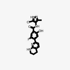 Cc1n[nH]c(Cl)c1NC(=O)c1cc(F)c(-c2ccc3c(n2)NCCC3)cc1O